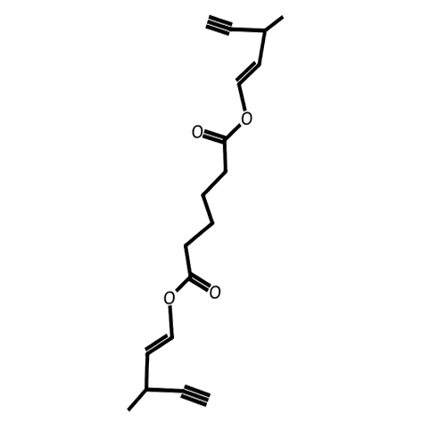 C#CC(C)C=COC(=O)CCCCC(=O)OC=CC(C)C#C